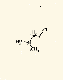 CN(C)[SiH2]CCl